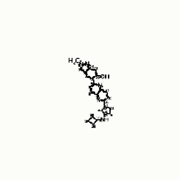 Cn1cc2cc(-c3ccc4nc(N5CC[C@H](NC6CCC6)C5)ccc4n3)c(O)cc2n1